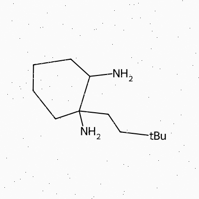 CC(C)(C)CCC1(N)CCCCC1N